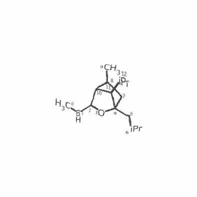 CBC1OC2(CC(C)C)CC(C)C1C2C(C)C